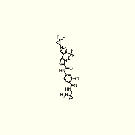 Cn1c(-c2cn(C3CC3(F)F)nc2C(F)(F)F)cnc1C(=O)Nc1ccc(C(=O)NCC2(N)CC2)c(Cl)c1